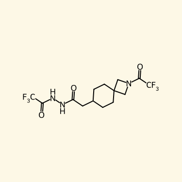 O=C(CC1CCC2(CC1)CN(C(=O)C(F)(F)F)C2)NNC(=O)C(F)(F)F